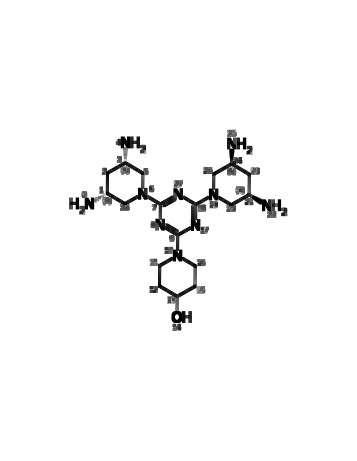 N[C@@H]1C[C@H](N)CN(c2nc(N3CCC(O)CC3)nc(N3C[C@H](N)C[C@H](N)C3)n2)C1